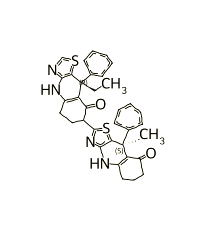 CC[C@@]1(c2ccccc2)C2=C(CCC(c3nc4c(s3)[C@@](CC)(c3ccccc3)C3=C(CCCC3=O)N4)C2=O)Nc2ncsc21